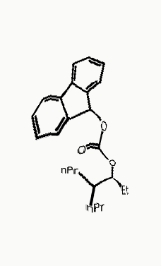 CCCC(CCC)[C@H](CC)OC(=O)OC1c2ccccc2-c2ccccc21